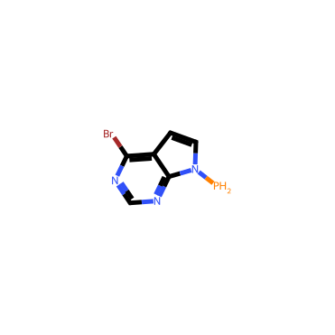 Pn1ccc2c(Br)ncnc21